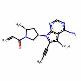 C=CC(=O)N1C[C@H](n2c(C#CC)c(C(=O)O)c3c(N)ncnc32)C[C@@H]1C